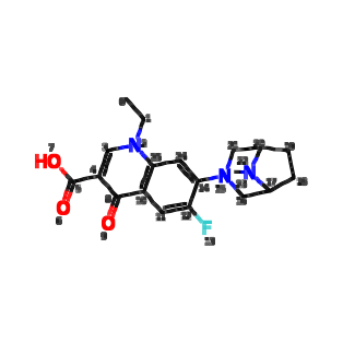 CCn1cc(C(=O)O)c(=O)c2cc(F)c(N3CC4CCC(C3)N4C)cc21